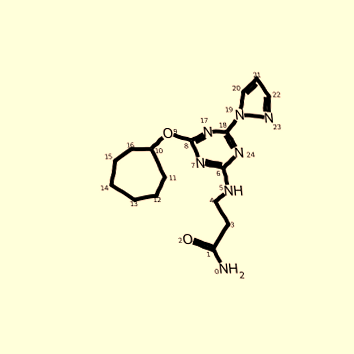 NC(=O)CCNc1nc(OC2CCCCCC2)nc(-n2cccn2)n1